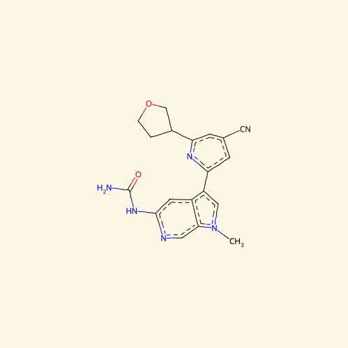 Cn1cc(-c2cc(C#N)cc(C3CCOC3)n2)c2cc(NC(N)=O)ncc21